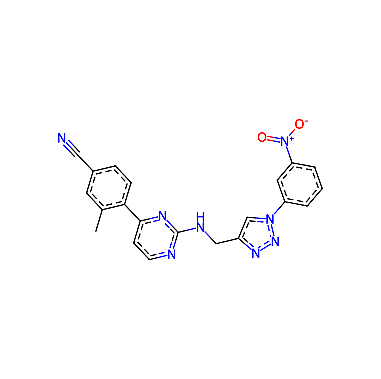 Cc1cc(C#N)ccc1-c1ccnc(NCc2cn(-c3cccc([N+](=O)[O-])c3)nn2)n1